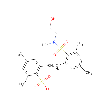 Cc1cc(C)c(S(=O)(=O)N(C)CCO)c(C)c1.Cc1cc(C)c(S(=O)(=O)O)c(C)c1